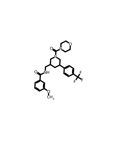 COc1cccc(C(=O)NCC2CC(c3ccc(C(F)(F)F)cc3)CN(C(=O)N3CCOCC3)C2)c1